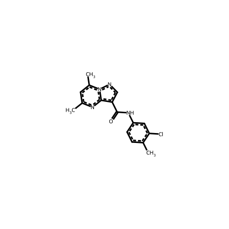 Cc1cc(C)n2ncc(C(=O)Nc3ccc(C)c(Cl)c3)c2n1